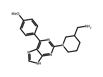 COc1ccc(-c2nc(N3CCCC(CN)C3)nc3[nH]cnc23)cc1